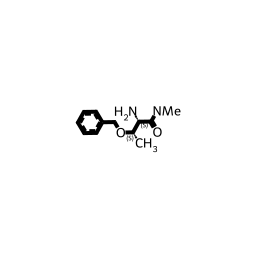 CNC(=O)[C@@H](N)[C@H](C)OCc1ccccc1